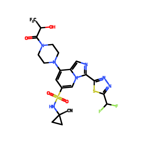 N#CC1(NS(=O)(=O)c2cc(N3CCN(C(=O)C(O)C(F)(F)F)CC3)c3cnc(-c4nnc(C(F)F)s4)n3c2)CC1